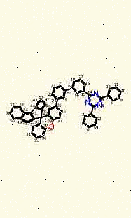 c1ccc(-c2nc(-c3ccccc3)nc(-c3cccc(-c4cccc(-c5ccc6c(c5)C5(c7ccccc7O6)c6ccccc6-c6c5ccc5ccccc65)c4)c3)n2)cc1